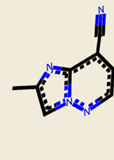 Cc1cn2nccc(C#N)c2n1